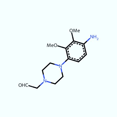 COc1c(N)ccc(N2CCN(CC=O)CC2)c1OC